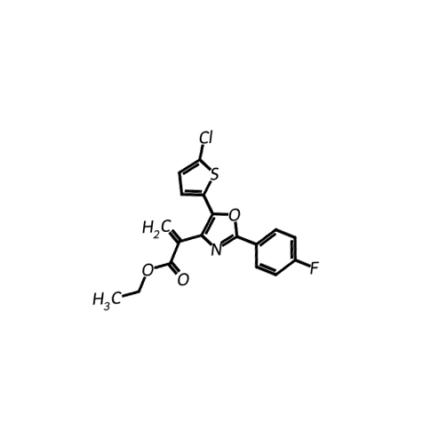 C=C(C(=O)OCC)c1nc(-c2ccc(F)cc2)oc1-c1ccc(Cl)s1